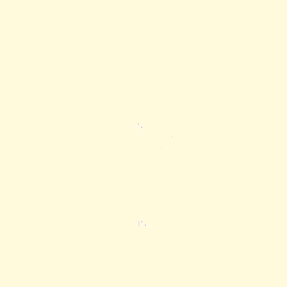 O=C(Cc1ccccc1C1CCNCC1)c1csc(C2=Cc3ccccc3C2)n1